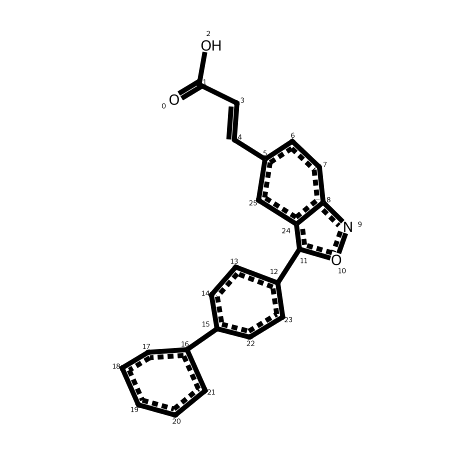 O=C(O)C=Cc1ccc2noc(-c3ccc(-c4ccccc4)cc3)c2c1